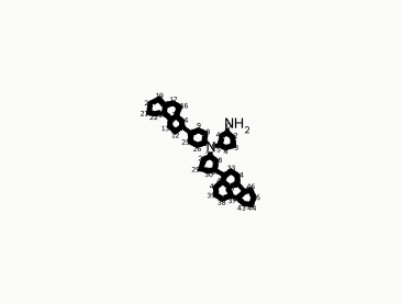 Nc1cccc(N(c2ccc(-c3ccc4c(ccc5ccccc54)c3)cc2)c2cccc(-c3ccc4c5c(cccc35)-c3ccccc3-4)c2)c1